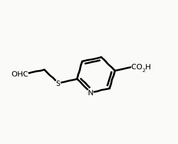 O=CCSc1ccc(C(=O)O)cn1